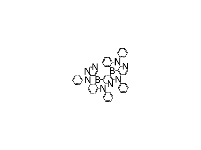 c1ccc(N2c3cccc4c3B(c3cncnc32)c2cc3c(nc2N4c2ccccc2)N(c2ccccc2)c2ccnc4c2B3c2ccccc2N4c2ccccc2)cc1